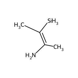 CC(N)=C(C)[SiH3]